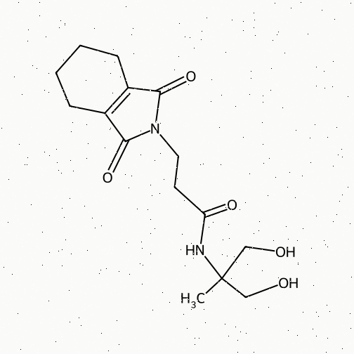 CC(CO)(CO)NC(=O)CCN1C(=O)C2=C(CCCC2)C1=O